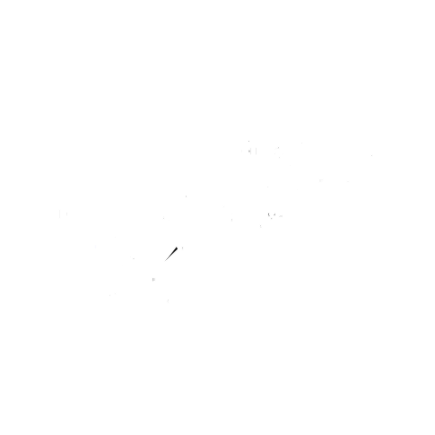 CC/C=C/[C@H]1CCC[C@@H]1CC=C=CC([16OH])([16OH])C(OC)(Oc1ccccc1)C(=O)O